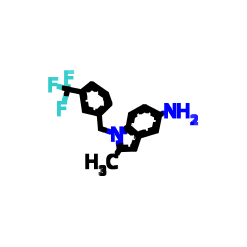 Cc1cc2cc(N)ccc2n1Cc1cccc(C(F)(F)F)c1